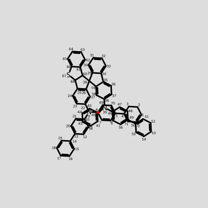 C1=CCCC(c2ccc(N(c3ccc(-c4ccccc4)cc3)c3ccc4c(c3)C3(c5ccccc5-c5ccc(N(c6ccccc6)c6ccc(-c7ccccc7)cc6)cc53)C3c5ccccc5SC43)cc2)=C1